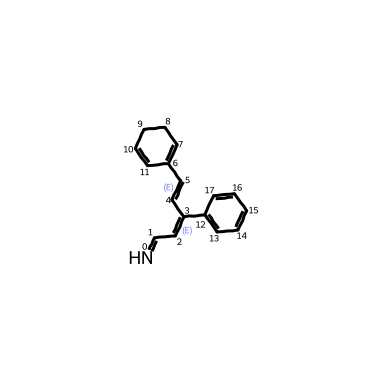 N=C/C=C(\C=C\C1=CCCC=C1)c1ccccc1